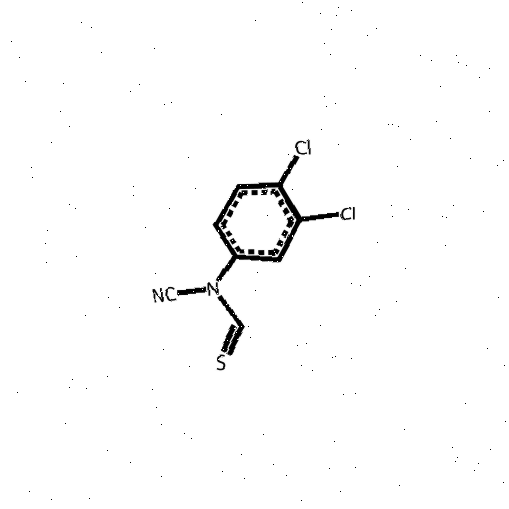 N#CN(C=S)c1ccc(Cl)c(Cl)c1